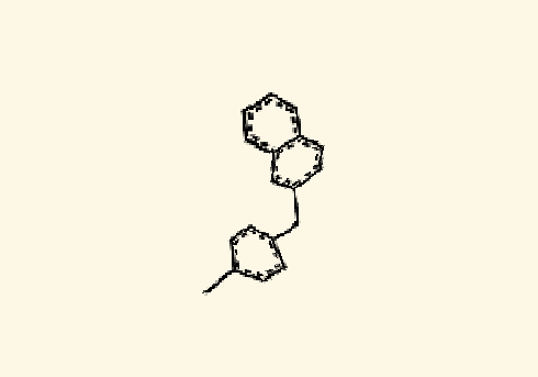 Cc1ccc(Cc2ccc3ccccc3c2)cc1